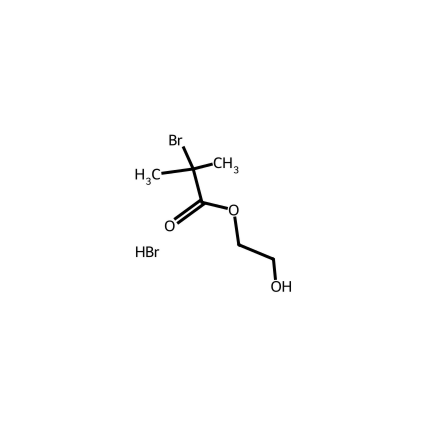 Br.CC(C)(Br)C(=O)OCCO